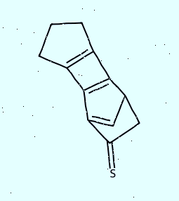 S=C1CC2C=C1C1=C2C2=C1CCC2